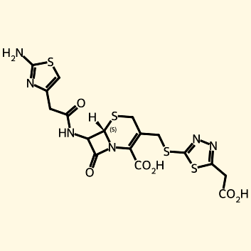 Nc1nc(CC(=O)NC2C(=O)N3C(C(=O)O)=C(CSc4nnc(CC(=O)O)s4)CS[C@@H]23)cs1